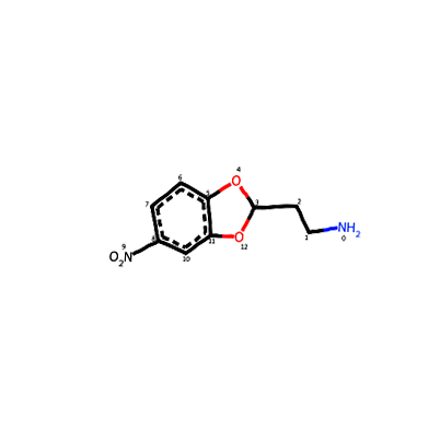 NCCC1Oc2ccc([N+](=O)[O-])cc2O1